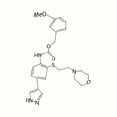 COc1cccc(COC(=O)Nc2ccc(-c3cn[nH]c3)cc2SCCN2CCOCC2)c1